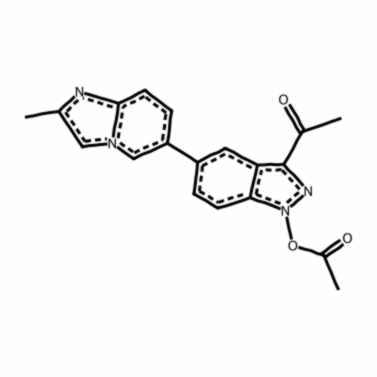 CC(=O)On1nc(C(C)=O)c2cc(-c3ccc4nc(C)cn4c3)ccc21